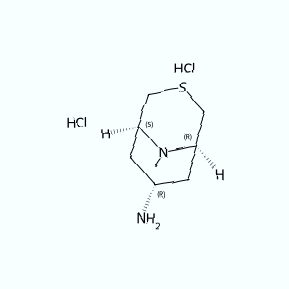 CN1[C@@H]2CSC[C@H]1C[C@H](N)C2.Cl.Cl